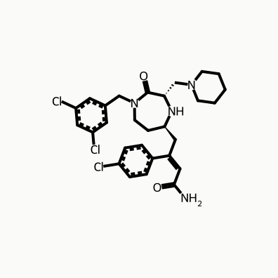 NC(=O)C=C(C[C@H]1CCN(Cc2cc(Cl)cc(Cl)c2)C(=O)[C@H](CN2CCCCC2)N1)c1ccc(Cl)cc1